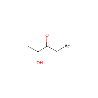 CC(=O)CC(=O)C(C)O